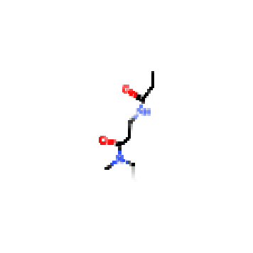 CCC(=O)NCCC(=O)N(C)CC